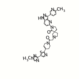 Cc1ccc(-c2n[nH]c3ccc(N4CC[C@]5(CCN(CC(=O)N6CC=C(c7ncc(-c8ncn(C)n8)s7)CC6)C5)C4=O)nc23)cn1